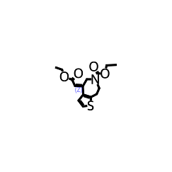 CCOC(=O)/C=C1\CN(C(=O)OCC)CCc2sccc21